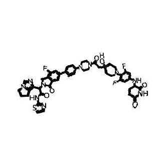 O=C1CCC(Nc2cc(F)c(N3CCC(O)(CC(=O)N4CCN(c5ccc(-c6cc(F)c7c(c6)C(=O)N(C(C(=O)Nc6nccs6)c6ncn8c6CCC8)C7)cc5)CC4)CC3)c(F)c2)C(=O)N1